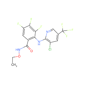 CCONC(=O)c1cc(F)c(F)c(F)c1Nc1ncc(C(F)(F)F)cc1Cl